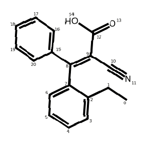 CCc1ccccc1C(=C(C#N)C(=O)O)c1ccccc1